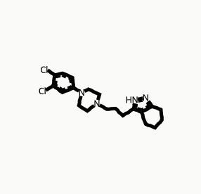 Clc1ccc(N2CCN(CCCc3[nH]nc4c3CCCC4)CC2)cc1Cl